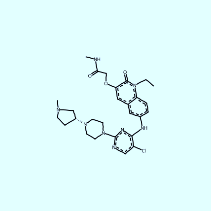 CCn1c(=O)c(OCC(=O)NC)cc2cc(Nc3nc(N4CCN([C@@H]5CCN(C)C5)CC4)ncc3Cl)ccc21